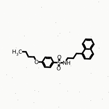 CCCCOc1ccc(S(=O)(=O)NCCCc2cccc3ccccc23)cc1